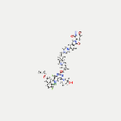 COCOc1cc(-c2ncc3c(N4CCC[C@@](C)(O)C4)nc(OCC4(CN5CCC6(CC5)CC(CN5CCN(c7ccc8c(c7)CN([C@H]7CCC(=O)NC7=O)C8=O)CC5)C6)CC4)nc3c2F)c2c(Cl)c(F)ccc2c1